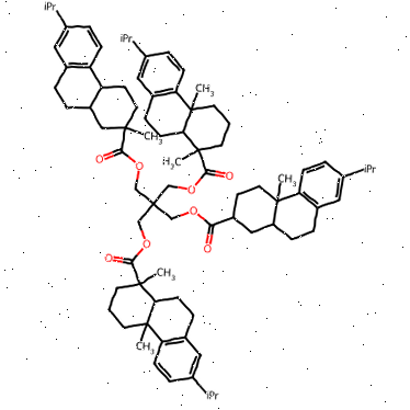 CC(C)c1ccc2c(c1)CCC1CC(C)(C(=O)OCC(COC(=O)C3CCC4(C)c5ccc(C(C)C)cc5CCC4C3)(COC(=O)C3(C)CCCC4(C)c5ccc(C(C)C)cc5CCC34)COC(=O)C3(C)CCCC4(C)c5ccc(C(C)C)cc5CCC34)CCC21